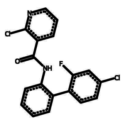 O=C(Nc1ccccc1-c1ccc(Cl)cc1F)c1cccnc1Cl